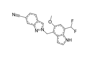 COc1cc(C(F)F)c2[nH]ccc2c1Cn1cc2ccc(C#N)cc2n1